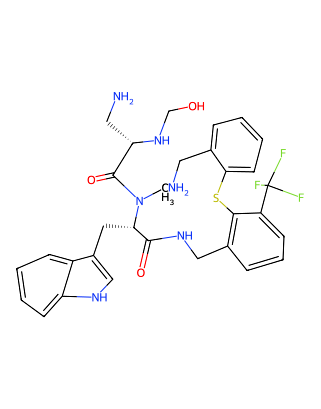 CN(C(=O)[C@H](CN)NCO)[C@@H](Cc1c[nH]c2ccccc12)C(=O)NCc1cccc(C(F)(F)F)c1Sc1ccccc1CN